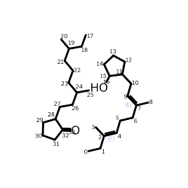 CC/C(C)=C/CC/C(C)=C/CC1CCCC1O.CCC(C)CCCC(C)CCC1CCCC1=O